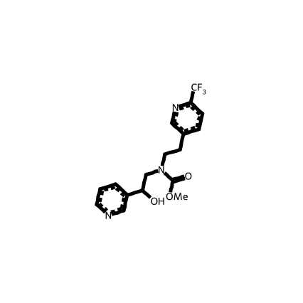 COC(=O)N(CCc1ccc(C(F)(F)F)nc1)CC(O)c1cccnc1